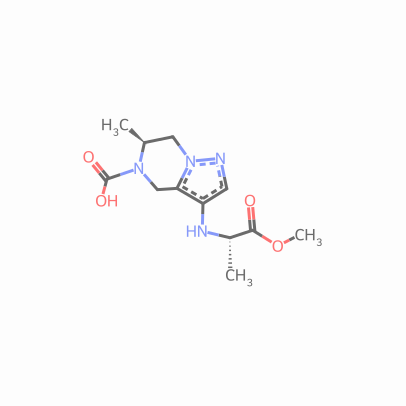 COC(=O)[C@H](C)Nc1cnn2c1CN(C(=O)O)[C@@H](C)C2